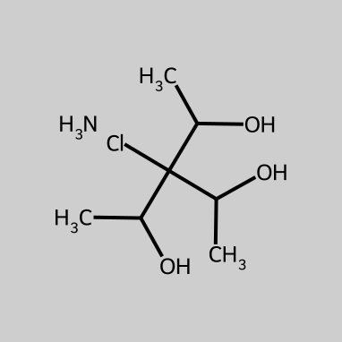 CC(O)C(Cl)(C(C)O)C(C)O.N